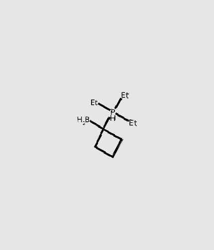 BC1([PH](CC)(CC)CC)CCC1